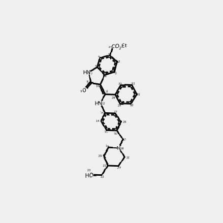 CCOC(=O)c1ccc2c(c1)NC(=O)/C2=C(\Nc1ccc(CN2CCC(CO)CC2)cc1)c1ccccc1